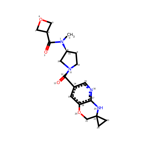 CN(C(=O)C1COC1)[C@H]1CCN(C(=O)c2cnc3c(c2)OCC2(CC2)N3)C1